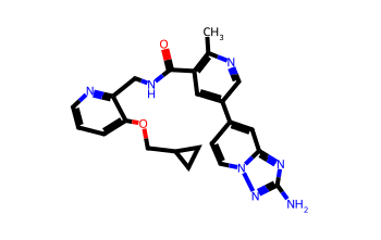 Cc1ncc(-c2ccn3nc(N)nc3c2)cc1C(=O)NCc1ncccc1OCC1CC1